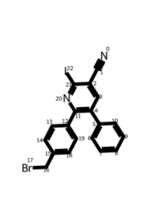 N#Cc1cc(-c2ccccc2)c(-c2ccc(CBr)cc2)nc1I